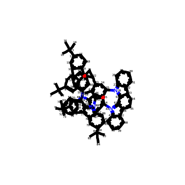 CC(C)(C)C1=CC2=C3C(C1)c1cc(C(C)(C)C)ccc1C31CC1c1cc(-n3c4ccccc4c4ccc5c6ccccc6n(-c6ccc(N(c7ccccc7)c7ccccc7)cc6)c5c43)cc3c1B2c1cc(C(C)(C)C)cc2c4cc(C(C)(C)C)ccc4n-3c12